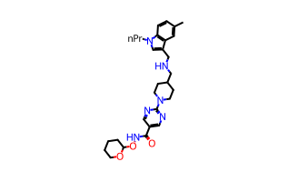 CCCn1cc(CNCC2CCN(c3ncc(C(=O)NOC4CCCCO4)cn3)CC2)c2cc(C)ccc21